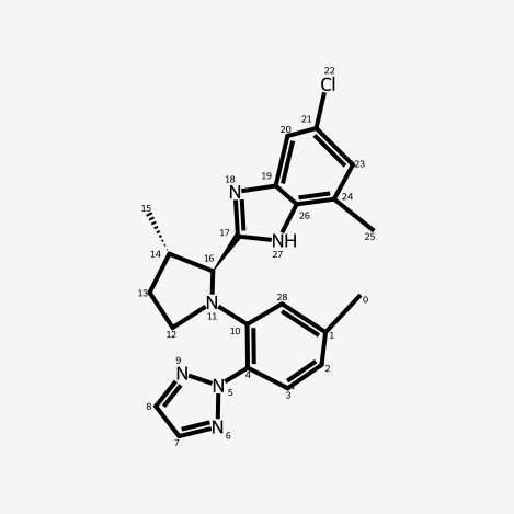 Cc1c[c]c(-n2nccn2)c(N2CC[C@H](C)[C@H]2c2nc3cc(Cl)cc(C)c3[nH]2)c1